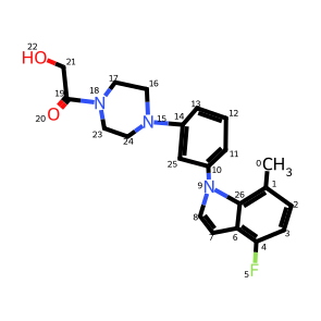 Cc1ccc(F)c2ccn(-c3cccc(N4CCN(C(=O)CO)CC4)c3)c12